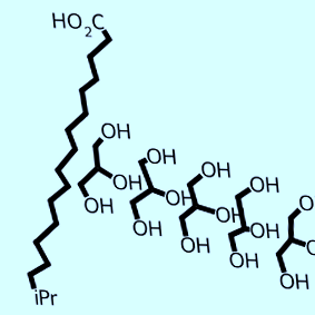 CC(C)CCCCCCCCCCCCCCC(=O)O.OCC(O)CO.OCC(O)CO.OCC(O)CO.OCC(O)CO.OCC(O)CO